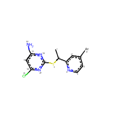 CC(=O)c1ccnc(C(C)Sc2nc(N)cc(Cl)n2)c1